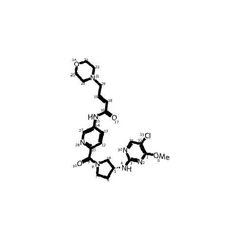 COc1nc(N[C@@H]2CCN(C(=O)c3ccc(NC(=O)/C=C/CN4CCOCC4)cn3)C2)ncc1Cl